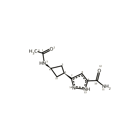 CC(=O)N[C@H]1C[C@@H](c2cc(C(N)=O)[nH]n2)C1